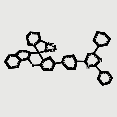 c1ccc(-c2cc(-c3ccc(-c4ccc5c(c4)C4(c6ccccc6-c6ccccc64)c4ccc6ccccc6c4S5)cc3)nc(-c3ccccc3)n2)cc1